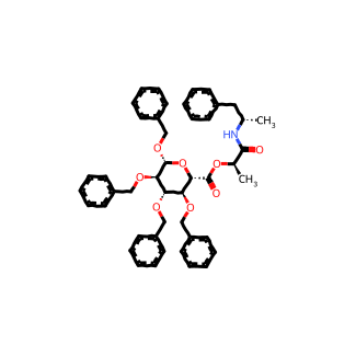 C[C@@H](Cc1ccccc1)NC(=O)[C@@H](C)OC(=O)[C@H]1O[C@@H](OCc2ccccc2)[C@H](OCc2ccccc2)[C@@H](OCc2ccccc2)[C@@H]1OCc1ccccc1